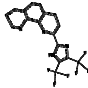 FC(F)(F)c1nc(-c2ccc3ccc4cccnc4c3n2)[nH]c1C(F)(F)F